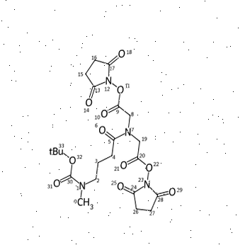 CN(CCCC(=O)N(CC(=O)ON1C(=O)CCC1=O)CC(=O)ON1C(=O)CCC1=O)C(=O)OC(C)(C)C